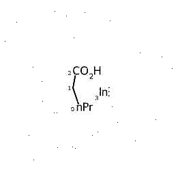 CCCCC(=O)O.[In]